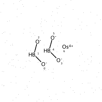 [O-]B[O-].[O-]B[O-].[Os+4]